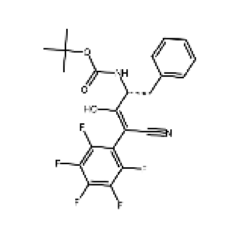 CC(C)(C)OC(=O)N[C@H](Cc1ccccc1)/C(O)=C(\C#N)c1c(F)c(F)c(F)c(F)c1F